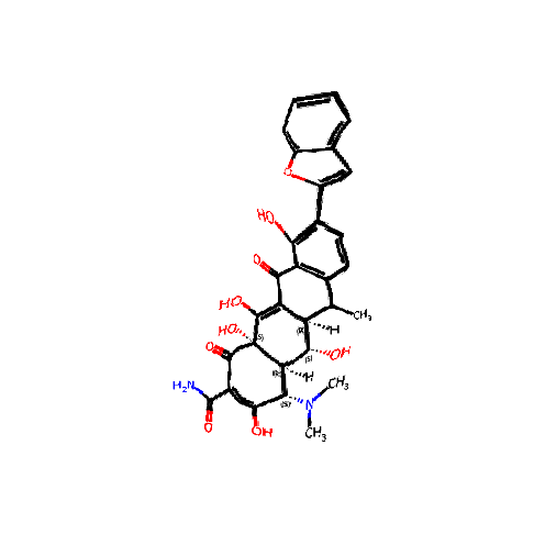 CC1c2ccc(-c3cc4ccccc4o3)c(O)c2C(=O)C2=C(O)[C@]3(O)C(=O)C(C(N)=O)=C(O)[C@@H](N(C)C)[C@@H]3[C@@H](O)[C@@H]21